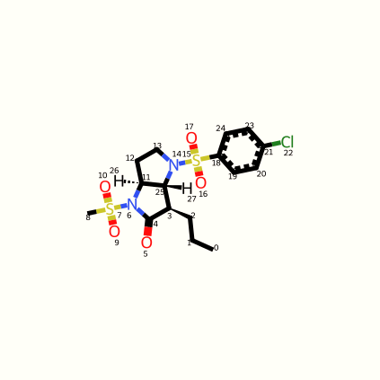 CCC[C@H]1C(=O)N(S(C)(=O)=O)[C@H]2CCN(S(=O)(=O)c3ccc(Cl)cc3)[C@H]12